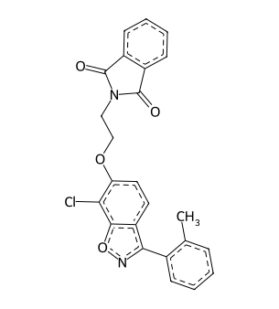 Cc1ccccc1-c1noc2c(Cl)c(OCCN3C(=O)c4ccccc4C3=O)ccc12